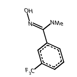 CNC(=NO)c1cccc(C(F)(F)F)c1